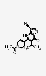 CC(=O)N1CC=C(c2[nH]c3c(C#N)cnn3c(=O)c2C(C)C)CC1